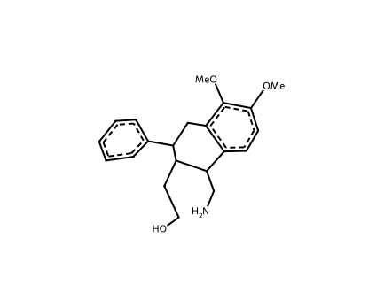 COc1ccc2c(c1OC)CC(c1ccccc1)C(CCO)C2CN